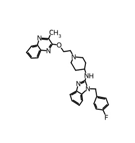 Cc1nc2ccccc2nc1OCCN1CCC(Nc2nc3ccccc3n2Cc2ccc(F)cc2)CC1